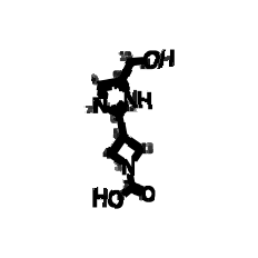 O=C(O)N1CC(c2ncc(CO)[nH]2)C1